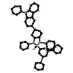 O=P1(c2cc(-c3ccccc3)cc(-c3ccccc3)n2)N(c2ccccc2)c2ccc(-c3ccc4c(c3)c3ccccc3n4-c3ccccc3)cc2N1c1ccccc1